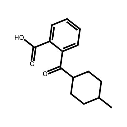 CC1CCC(C(=O)c2ccccc2C(=O)O)CC1